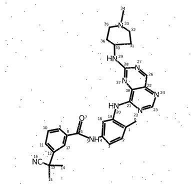 Cc1ccc(NC(=O)c2cccc(C(C)(C)C#N)c2)cc1Nc1ncnc2cnc(NC3CCN(C)CC3)nc12